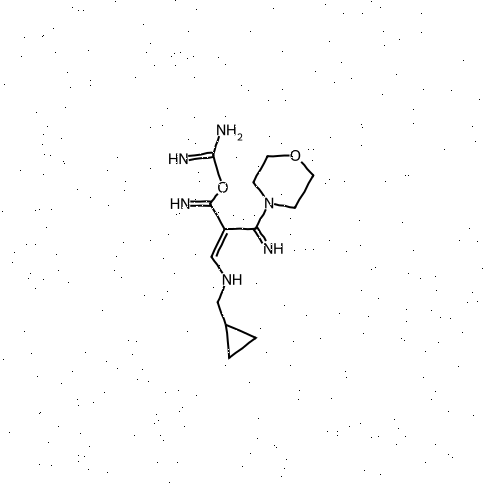 N=C(N)OC(=N)/C(=C/NCC1CC1)C(=N)N1CCOCC1